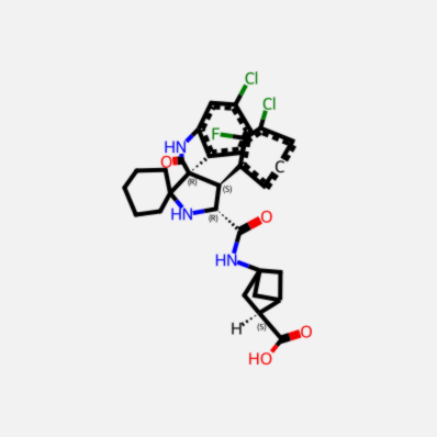 O=C(O)[C@H]1CC2(NC(=O)[C@@H]3NC4(CCCCC4)[C@@]4(C(=O)Nc5cc(Cl)ccc54)[C@H]3c3cccc(Cl)c3F)CC1C2